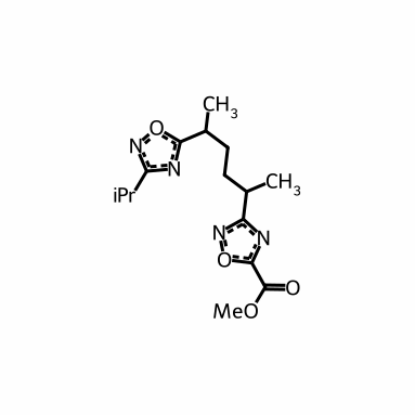 COC(=O)c1nc(C(C)CCC(C)c2nc(C(C)C)no2)no1